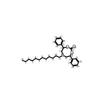 CCCCCCCCCCCCB1CC(c2ccccc2)OC(=O)OC(c2ccccc2)C1